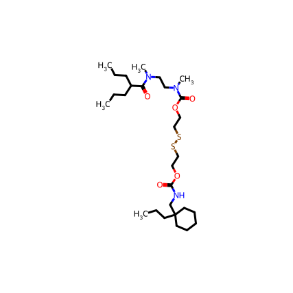 CCCC(CCC)C(=O)N(C)CCN(C)C(=O)OCCSSCCOC(=O)NCC1(CCC)CCCCC1